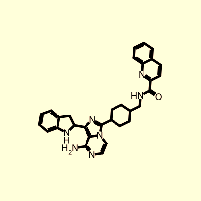 Nc1nccn2c(C3CCC(CNC(=O)c4ccc5ccccc5n4)CC3)nc(C3Cc4ccccc4N3)c12